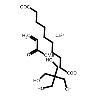 C=CC(=O)OC.O=C([O-])CCCCCCCCC(=O)[O-].OCC(CO)(CO)CO.[Ca+2]